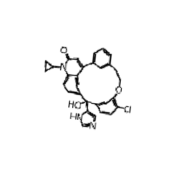 O=c1cc2c3cc(ccc3n1C1CC1)C(O)(c1cnc[nH]1)c1ccc(Cl)c(c1)OCCc1cccc-2c1